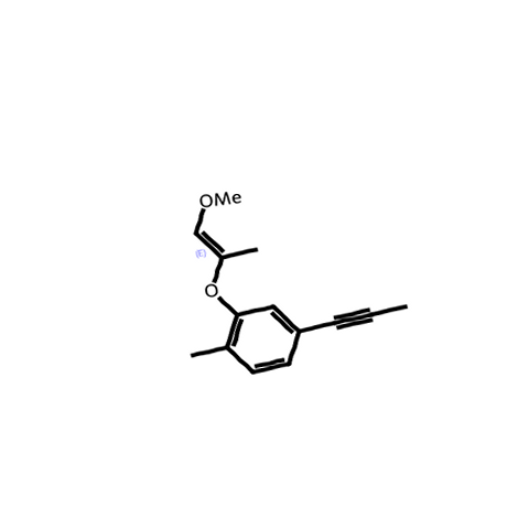 CC#Cc1ccc(C)c(O/C(C)=C/OC)c1